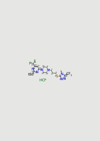 Cl.Cn1c(SCCCN2CCN(c3cc(C(F)F)nc(C(C)(C)C)n3)CC2)nnc1C(F)(F)F